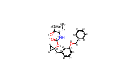 COC(=O)[C@H](CC(C)C)NC(=O)OC1(Cc2cccc(OCc3ccccc3)c2)CC1